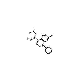 CN(CC(F)F)C1=NCN(c2ccccc2)c2cc(Cl)ccc21